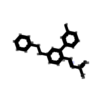 Cc1cccc(-c2cc(OCc3ccccc3)ccc2/C=C/[N+](=O)[O-])c1